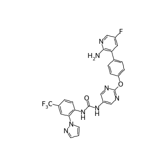 Nc1ncc(F)cc1-c1ccc(Oc2ncc(NC(=O)Nc3ccc(C(F)(F)F)cc3-n3cccn3)cn2)cc1